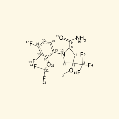 COC1(C(F)(F)F)CC(C(N)=O)N(c2ccc(F)c(F)c2OC(F)F)C1